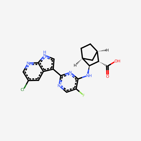 O=C(O)[C@H]1[C@@H]2CC[C@@H](C2)[C@@H]1Nc1nc(-c2c[nH]c3ncc(Cl)cc23)ncc1F